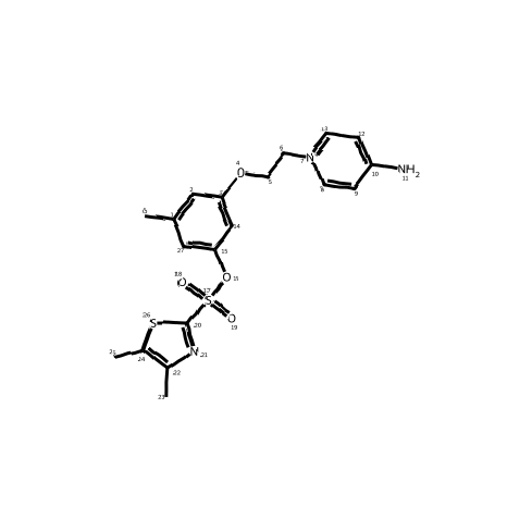 Cc1cc(OCC[n+]2ccc(N)cc2)cc(OS(=O)(=O)c2nc(C)c(C)s2)c1